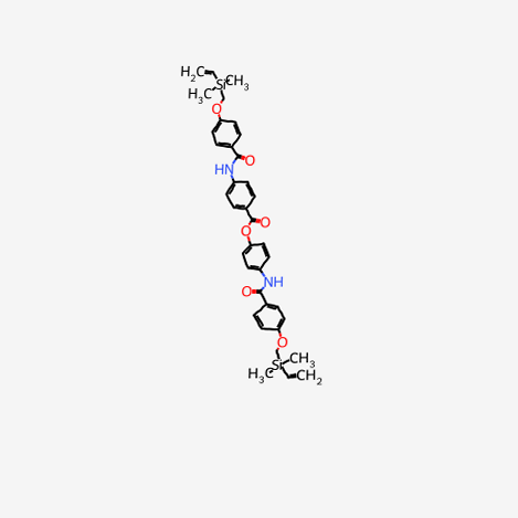 C=C[Si](C)(C)COc1ccc(C(=O)Nc2ccc(OC(=O)c3ccc(NC(=O)c4ccc(OC[Si](C)(C)C=C)cc4)cc3)cc2)cc1